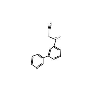 C[C@@H](CC#N)c1cccc(-c2cccnc2)c1